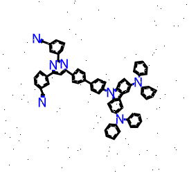 N#Cc1cccc(-c2cc(-c3ccc(-c4ccc(-n5c6ccc(N(c7ccccc7)c7ccccc7)cc6c6cc(N(c7ccccc7)c7ccccc7)ccc65)cc4)cc3)nc(-c3cccc(C#N)c3)n2)c1